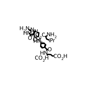 CC(C)CC(N)C(=O)O.CN1c2c(nc(N)[nH]c2=O)NC[C@@H]1CNc1ccc(C(=O)NC(CCC(=O)O)C(=O)O)cc1